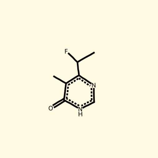 Cc1c(C(C)F)nc[nH]c1=O